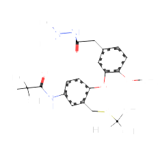 COc1ccc(CC(=O)NN(C)C)cc1Oc1ccc(NC(=O)C(C)(C)C)cc1CSC(C)(C)C